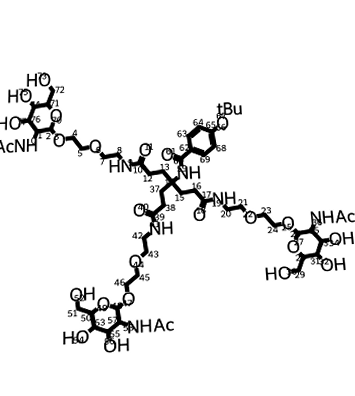 CC(=O)NC1C(OCCOCCNC(=O)CCC(CCC(=O)NCCOCCOC2OC(CO)C(O)C(O)C2NC(C)=O)(CCC(=O)NCCOCCOC2OC(CO)C(O)C(O)C2NC(C)=O)NC(=O)c2ccc(OC(C)(C)C)cc2)OC(CO)C(O)C1O